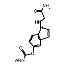 CNC(=O)Oc1ccc2c(ccn2NCC(N)=O)c1